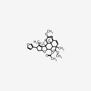 COC(=O)CC1C2(C)C3=C(C)C(c4ccoc4)CC3OC2C(OC(C)=O)C2C(C)(C(=O)OC)C=CC(=O)C21C